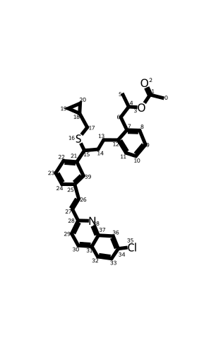 CC(=O)OC(C)Cc1ccccc1CCC(SCC1CC1)c1cccc(C=Cc2ccc3ccc(Cl)cc3n2)c1